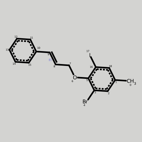 Cc1cc(Br)c(OC/C=C/c2ccccc2)c(I)c1